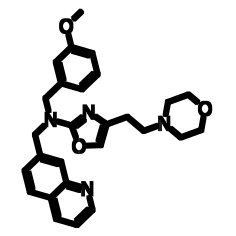 COc1cccc(CN(Cc2ccc3cccnc3c2)c2nc(CCN3CCOCC3)co2)c1